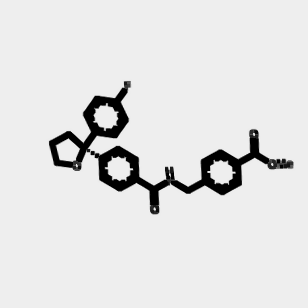 COC(=O)c1ccc(CNC(=O)c2ccc([C@@]3(c4ccc(F)cc4)CCCO3)cc2)cc1